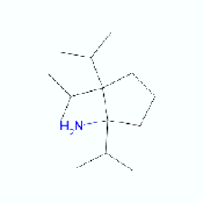 CC(C)C1(N)CCCC1(C(C)C)C(C)C